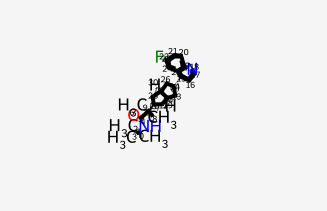 CC(C)(C)NC(=O)C(C)(C)[C@@H]1C[C@H]2C[C@@H](c3ccnc4ccc(F)cc34)C[C@H]2C1